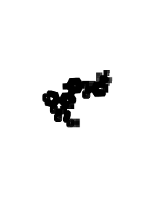 Cc1ccc(NC(=O)c2ccnc(C(F)(F)F)c2)cc1-c1cnc2c(c1)C1CCOCC1OC(=O)N2CCO